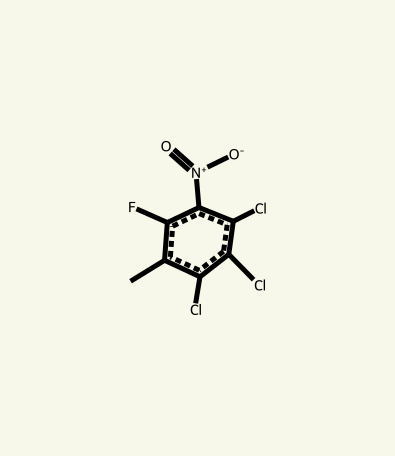 Cc1c(F)c([N+](=O)[O-])c(Cl)c(Cl)c1Cl